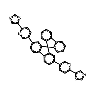 c1ccc2c(c1)-c1ccccc1C21c2cc(-c3ccc(-c4cncs4)nc3)ccc2-c2ccc(-c3ccc(-c4cncs4)nc3)cc21